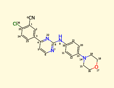 N#Cc1cc(-c2ccnc(Nc3ccc(N4CCOCC4)cc3)n2)ccc1Cl